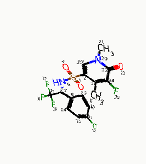 Cc1c(S(=O)(=O)N[C@H](c2ccc(Cl)cc2)C(F)(F)F)cn(C)c(=O)c1F